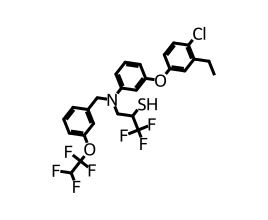 CCc1cc(Oc2cccc(N(Cc3cccc(OC(F)(F)C(F)F)c3)CC(S)C(F)(F)F)c2)ccc1Cl